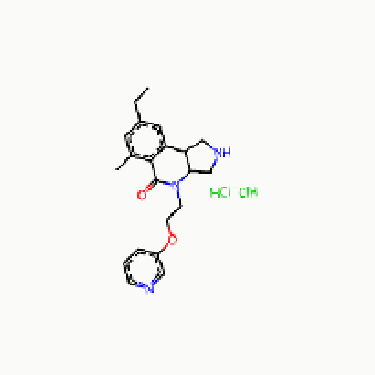 CCc1cc(C)c2c(c1)C1CNCC1N(CCOc1cccnc1)C2=O.Cl.Cl